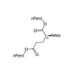 CCCCCOC(=O)CC[C@H](NC)C(=O)OCCCCC